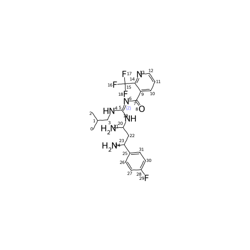 CC(C)CN/C(=N/C(=O)c1cccnc1C(F)(F)F)NC(N)CC(N)c1ccc(F)cc1